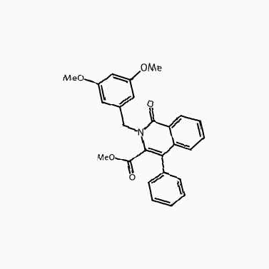 COC(=O)c1c(-c2ccccc2)c2ccccc2c(=O)n1Cc1cc(OC)cc(OC)c1